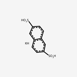 O=S(=O)(O)c1ccc2cc(S(=O)(=O)O)ccc2c1.[KH]